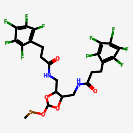 CSOC1OC(CNC(=O)CCc2c(F)c(F)c(F)c(F)c2F)C(CNC(=O)CCc2c(F)c(F)c(F)c(F)c2F)O1